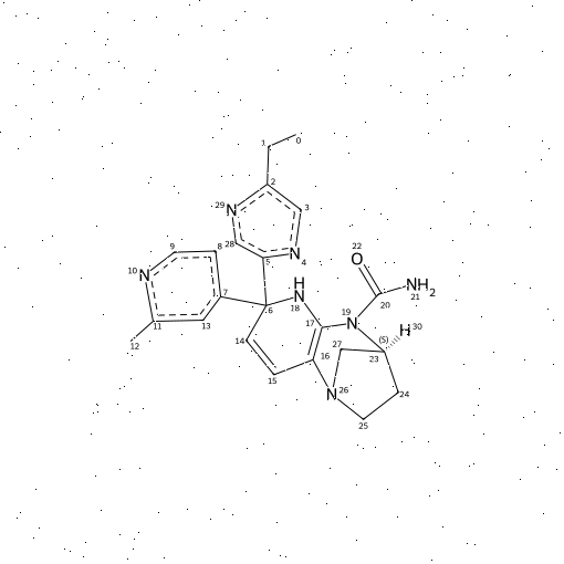 CCc1cnc(C2(c3ccnc(C)c3)C=CC3=C(N2)N(C(N)=O)[C@H]2CCN3C2)cn1